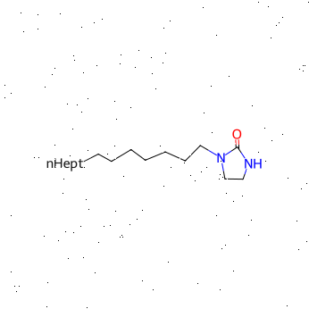 CCCCCCCCCCCCCCN1CCNC1=O